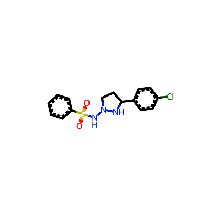 O=S(=O)(NN1CCC(c2ccc(Cl)cc2)N1)c1ccccc1